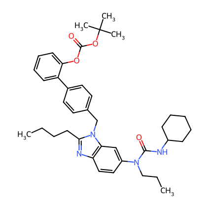 CCCCc1nc2ccc(N(CCC)C(=O)NC3CCCCC3)cc2n1Cc1ccc(-c2ccccc2OC(=O)OC(C)(C)C)cc1